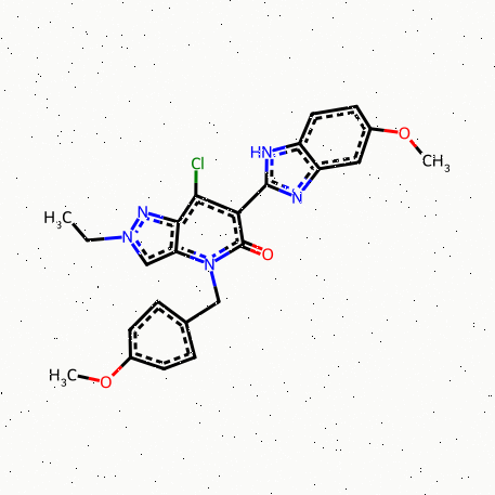 CCn1cc2c(n1)c(Cl)c(-c1nc3cc(OC)ccc3[nH]1)c(=O)n2Cc1ccc(OC)cc1